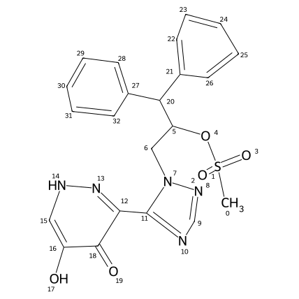 CS(=O)(=O)OC(Cn1ncnc1-c1n[nH]cc(O)c1=O)C(c1ccccc1)c1ccccc1